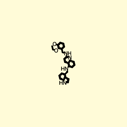 c1cc(CNc2ccc3c(NCc4cccc5[nH]ccc45)cccc3n2)c2c(c1)OCCO2